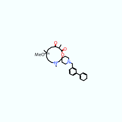 CO[C@]1(C)CCCN(C)CC2(CCN(Cc3cccc(C4=CCCC=C4)c3)CC2)OC(=O)C(C)C(=O)CC1